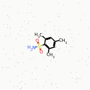 Cc1[c]c(C)c(S(N)(=O)=O)c(C)c1